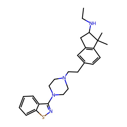 CCNC1Cc2cc(CCN3CCN(c4nsc5ccccc45)CC3)ccc2C1(C)C